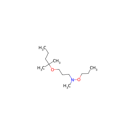 CCCON(C)CCCOC(C)(C)CCC